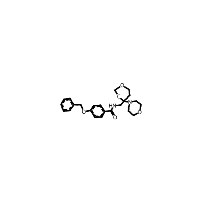 O=C(NCC1(N2CCOCC2)CCOCC1)c1ccc(OCc2ccccc2)cc1